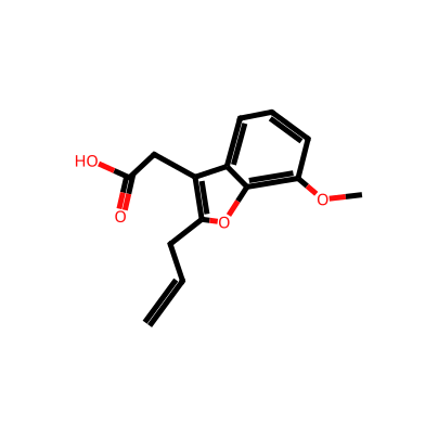 C=CCc1oc2c(OC)cccc2c1CC(=O)O